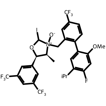 COc1cc(F)c(C(C)C)cc1-c1ccc(C(F)(F)F)cc1C[N+]1([O-])C(I)O[C@H](c2cc(C(F)(F)F)cc(C(F)(F)F)c2)[C@@H]1C